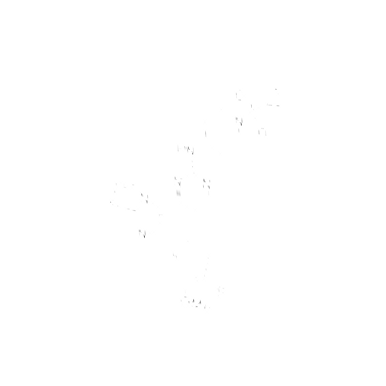 COc1cc(-c2nc3sccn3c2-c2ccnc(NC3CCN(S(=O)(=O)C4CC4)CC3)n2)ccc1F